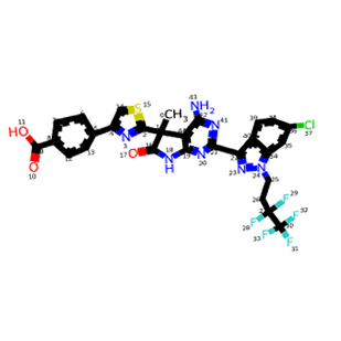 CC1(c2nc(-c3ccc(C(=O)O)cc3)cs2)C(=O)Nc2nc(-c3nn(CCC(F)(F)C(F)(F)F)c4cc(Cl)ccc34)nc(N)c21